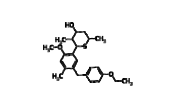 CCOc1ccc(Cc2cc(C3SC(C)CC(O)C3C)c(OC)cc2C)cc1